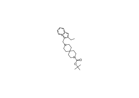 CCc1cc2ccccn2c1CN1CCC2(CC1)CCN(C(=O)OC(C)(C)C)CC2